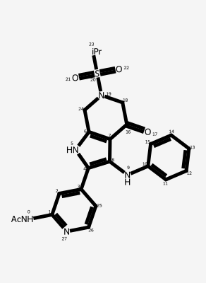 CC(=O)Nc1cc(-c2[nH]c3c(c2Nc2ccccc2)C(=O)CN(S(=O)(=O)C(C)C)C3)ccn1